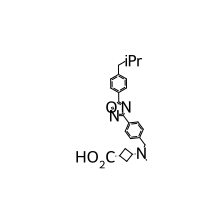 CC(C)Cc1ccc(-c2nc(-c3ccc(CN(C)[C@H]4C[C@@H](C(=O)O)C4)cc3)no2)cc1